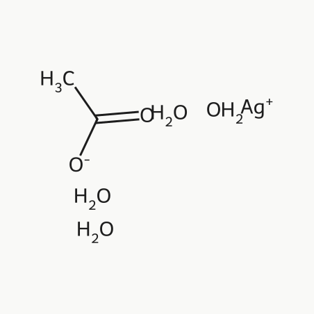 CC(=O)[O-].O.O.O.O.[Ag+]